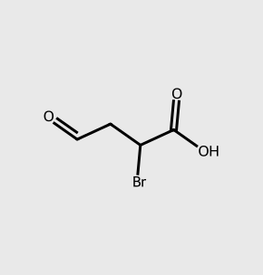 O=CCC(Br)C(=O)O